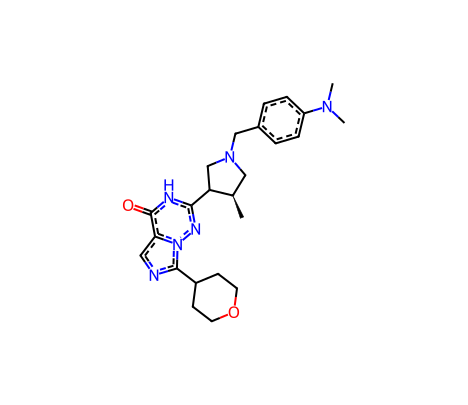 C[C@@H]1CN(Cc2ccc(N(C)C)cc2)CC1c1nn2c(C3CCOCC3)ncc2c(=O)[nH]1